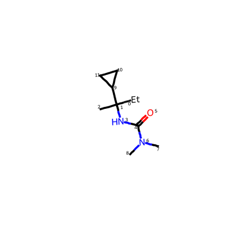 CCC(C)(NC(=O)N(C)C)C1CC1